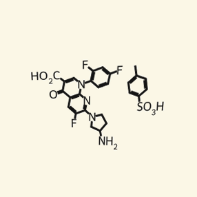 Cc1ccc(S(=O)(=O)O)cc1.NC1CCN(c2nc3c(cc2F)c(=O)c(C(=O)O)cn3-c2ccc(F)cc2F)C1